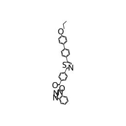 CCCOc1ccc(-c2ccc(-c3cnc(-c4ccc(C(=O)On5nnc6ccccc65)cc4)s3)cc2)cc1